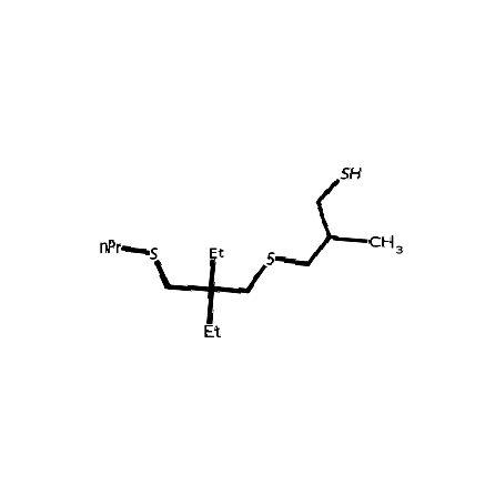 CCCSCC(CC)(CC)CSCC(C)CS